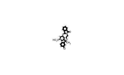 C[C@](OCCN1C(=O)c2ccccc2C1=O)(c1cccc(Cl)c1)C1CCCN(C(=O)O)C1